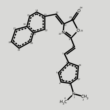 CN(C)c1ccc(C=CC2=NC(=Cc3ccc4ccccc4c3)C(=O)O2)cc1